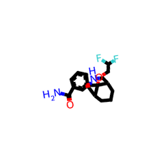 NC(=O)c1cccc(C2(OCC(F)F)C3CCCC2CNC3)c1